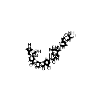 CC(Cn1ccc2nc(-n3cc(-c4cnc(C(=O)Nc5ccc(C(=O)N6CCN(C(=O)C7CC[N+](CC(=O)O)(CC8CNC8)CC7)CC6)c(Cl)c5)n4C)c(C(F)(F)F)n3)ccc21)C(N)=O